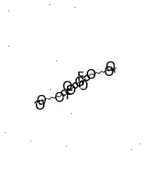 C=CC(=O)OCCCCCCOc1ccc(C(=O)Oc2ccc(OC(=O)c3ccc(OCCCCCCOC(=O)C(=C)C)cc3F)cc2)c(F)c1